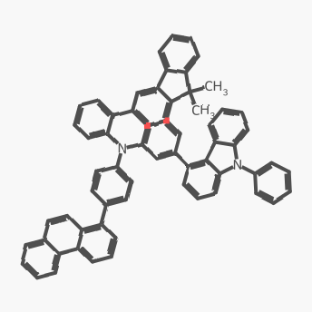 CC1(C)c2ccccc2-c2cc(-c3ccccc3N(c3ccc(-c4cccc5c4ccc4ccccc45)cc3)c3cccc(-c4cccc5c4c4ccccc4n5-c4ccccc4)c3)ccc21